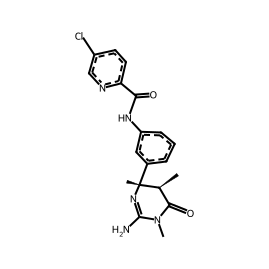 C[C@H]1C(=O)N(C)C(N)=N[C@]1(C)c1cccc(NC(=O)c2ccc(Cl)cn2)c1